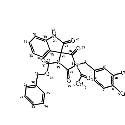 CC(=O)[N+]1(Cc2ccc(Cl)c(Cl)c2)C(=O)N(C(=O)OCc2ccccc2)C2(C(=O)Nc3ccccc32)C1=O